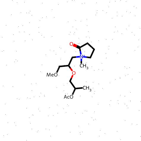 COCC(C[N+]1(C)CCCC1=O)OCC(C)OC(C)=O